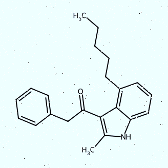 CCCCCc1cccc2[nH]c(C)c(C(=O)Cc3ccccc3)c12